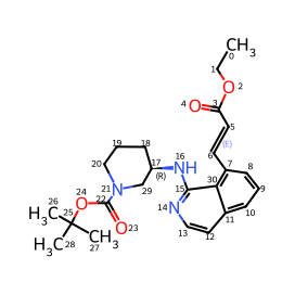 CCOC(=O)/C=C/c1cccc2ccnc(N[C@@H]3CCCN(C(=O)OC(C)(C)C)C3)c12